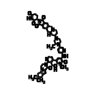 C[C@H]1CN([C@@H]2CCN3Cc4cc5c(cc4C[C@H]3C2)C(=O)N(C2CCC(=O)NC2=O)C5=O)CCN1c1ccc(Nc2cc(-c3ccnc(N4CCn5c(cc6c5CC(C)(C)C6)C4=O)c3CO)cn(C)c2=O)nc1